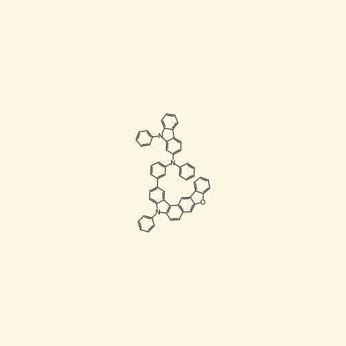 c1ccc(N(c2cccc(-c3ccc4c(c3)c3c5cc6c(cc5ccc3n4-c3ccccc3)oc3ccccc36)c2)c2ccc3c4ccccc4n(-c4ccccc4)c3c2)cc1